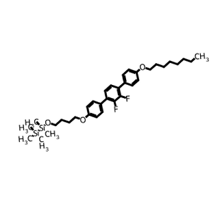 CCCCCCCCOc1ccc(-c2ccc(-c3ccc(OCCCCO[Si](C)(C)[Si](C)(C)C)cc3)c(F)c2F)cc1